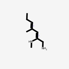 CC/C=C(C)/C=C(/CN)NC